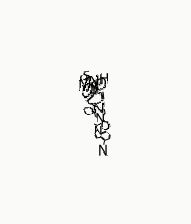 CC(C(=O)N1CCN(c2ccc(S(=O)(=O)Nc3nccs3)cc2)C(=O)C1)n1ccc2c(C#N)cccc21